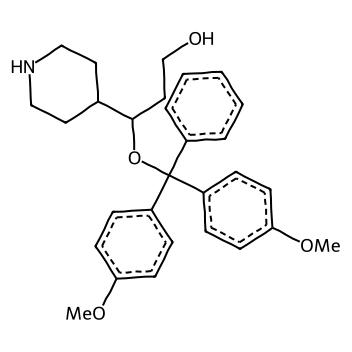 COc1ccc(C(OC(CCO)C2CCNCC2)(c2ccccc2)c2ccc(OC)cc2)cc1